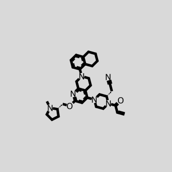 C=CC(=O)N1CCN(c2cc(OC[C@@H]3CCCN3C)nc3c2CCN(c2cccc4c2CCCC4)C3)C[C@@H]1CC#N